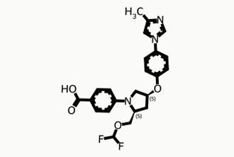 Cc1cn(-c2ccc(O[C@H]3C[C@@H](COC(F)F)N(c4ccc(C(=O)O)cc4)C3)cc2)cn1